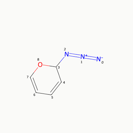 [N-]=[N+]=NC1C=CC=CO1